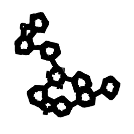 c1ccc(-c2ccc(-c3ccc4sc5cccc(-c6nc(-c7ccccc7)nc(-c7cccc(-c8cccc9oc%10ccccc%10c89)c7)n6)c5c4c3)cc2)cc1